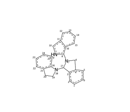 c1ccc2c(c1)CN(c1[nH]cc3ccccc13)[C]2N1CCc2ccccc21